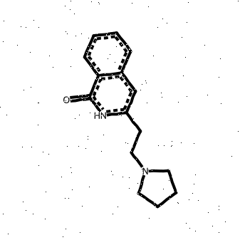 O=c1[nH]c(CCN2CCCC2)cc2ccccc12